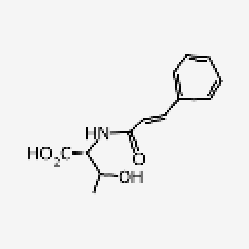 CC(O)[C@H](NC(=O)/C=C/c1ccccc1)C(=O)O